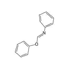 C(=Nc1ccccc1)Oc1ccccc1